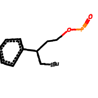 CC(C)(C)CC(CCOP=O)c1ccccc1